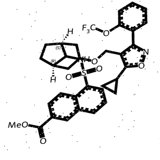 COC(=O)c1ccc2c(S(=O)(=O)NC3[C@@H]4CC[C@H]3CC(OCc3c(-c5ccccc5OC(F)(F)F)noc3C3CC3)C4)cccc2c1